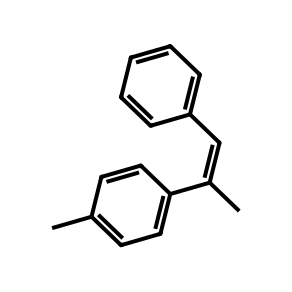 CC(=Cc1ccccc1)c1ccc(C)cc1